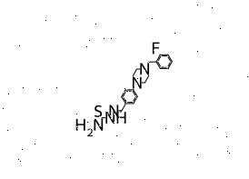 NC(=S)NN=Cc1ccc(N2CCN(Cc3ccccc3F)CC2)cc1